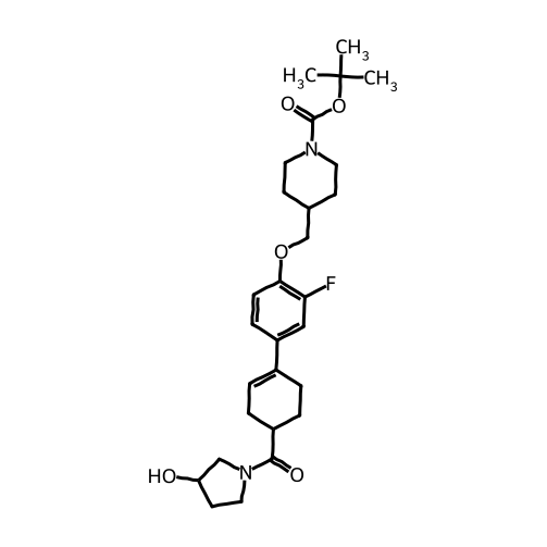 CC(C)(C)OC(=O)N1CCC(COc2ccc(C3=CCC(C(=O)N4CCC(O)C4)CC3)cc2F)CC1